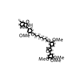 COc1cc(C2NC(=O)c3cc(C)ccc3N2)ccc1OCCCCCCCCOc1cc(-c2cc(-c3cc(OC)c(OC)c(OC)c3)on2)ccc1OC